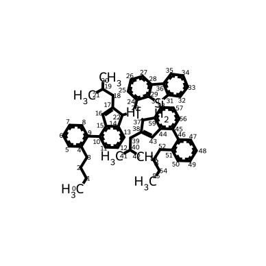 CCCCc1ccccc1-c1cccc2c1C=C(CC(C)C)[CH]2[Hf]([c]1cccc2c1[SiH2]c1ccccc1-2)[CH]1C(CC(C)C)=Cc2c(-c3ccccc3CCCC)cccc21